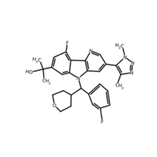 Cc1nnn(C)c1-c1cnc2c3c(F)cc(C(C)(C)O)cc3n(C(c3cccc(F)c3)C3CCOCC3)c2c1